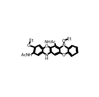 CCOc1cc2oc3c(NC(C)=O)c4c(cc3[nH]c2cc1NC(C)=O)oc1ccccc1n4OCC